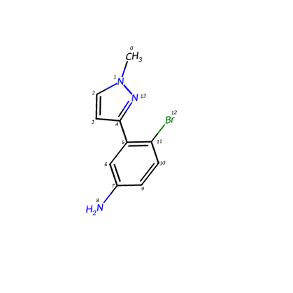 Cn1ccc(-c2cc(N)ccc2Br)n1